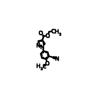 CCOC(=O)c1cnn(-c2ccc(OC)c(C#N)c2)c1